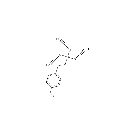 C#CO[Si](CCc1ccc(C)cc1)(OC#C)OC#C